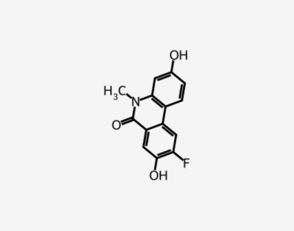 Cn1c(=O)c2cc(O)c(F)cc2c2ccc(O)cc21